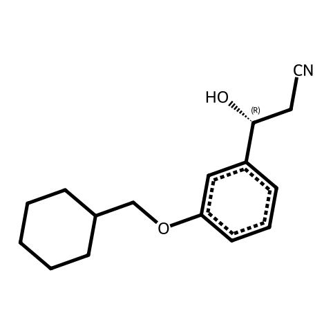 N#CC[C@@H](O)c1cccc(OCC2CCCCC2)c1